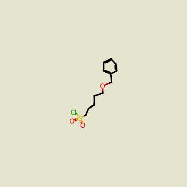 O=S(=O)(Cl)CCCCCOCc1ccccc1